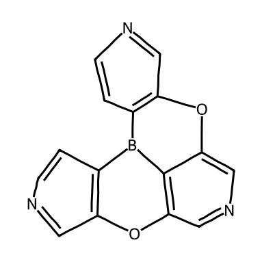 c1cc2c(cn1)Oc1cncc3c1B2c1ccncc1O3